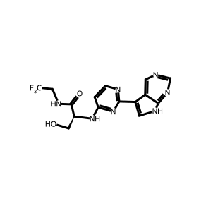 O=C(NCC(F)(F)F)[C@H](CO)Nc1ccnc(-c2c[nH]c3ncncc23)n1